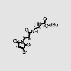 CC(C)(C)OC(=O)NCCNC(=O)CCN1C(=O)C=C(Br)C1=O